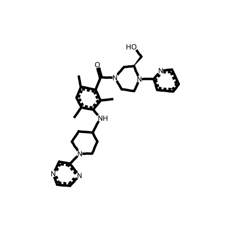 Cc1cc(C)c(C(=O)N2CCN(c3ccccn3)[C@H](CO)C2)c(C)c1NC1CCN(c2cnccn2)CC1